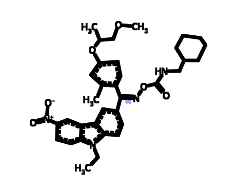 CCn1c2ccc(/C(=N/OC(=O)NCC3CCCCC3)c3ccc(OC(C)COC)cc3C)cc2c2cc([N+](=O)[O-])ccc21